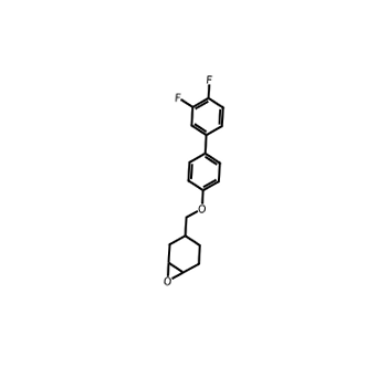 Fc1ccc(-c2ccc(OCC3CCC4OC4C3)cc2)cc1F